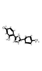 FC(F)(F)c1ccc(-c2nnc(-c3ccc(Cl)cc3Cl)o2)cc1